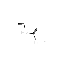 C=CNC(=O)NC